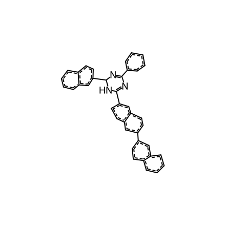 c1ccc(C2=NC(c3ccc4ccccc4c3)NC(c3ccc4cc(-c5ccc6ccccc6c5)ccc4c3)=N2)cc1